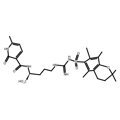 Cc1ccc(C(=O)N[C@@H](CCCNC(=N)NS(=O)(=O)c2c(C)c(C)c3c(c2C)CCC(C)(C)O3)C(=O)O)c(=O)[nH]1